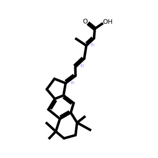 CC(/C=C/C=C1\CCc2cc3c(cc21)C(C)(C)CCC3(C)C)=C\C(=O)O